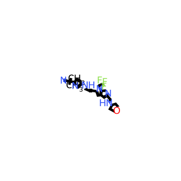 CC(C)(C#N)c1ccc(NCC#Cc2cc3cc(CNC4CCOCC4)ncc3n2CC(F)(F)F)cn1